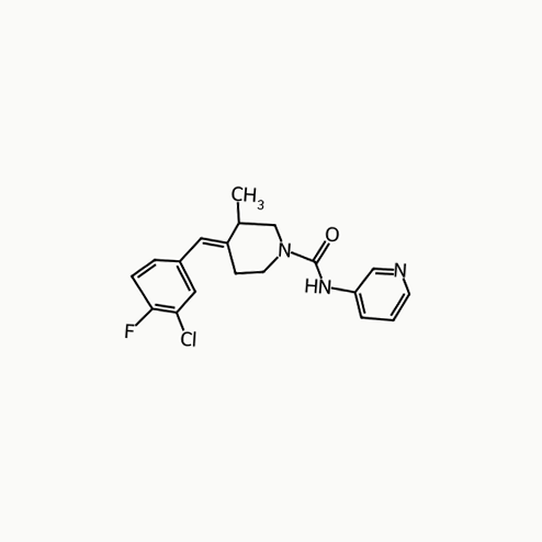 CC1CN(C(=O)Nc2cccnc2)CC/C1=C\c1ccc(F)c(Cl)c1